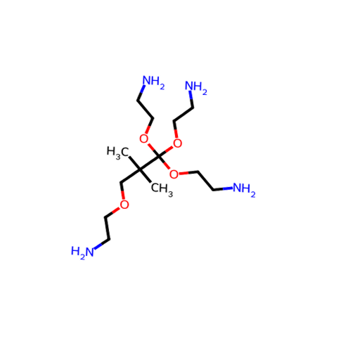 CC(C)(COCCN)C(OCCN)(OCCN)OCCN